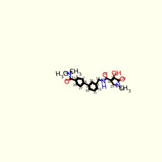 CN(C)C(=O)c1ccc(-c2cccc(CNC(=O)C3=C(O)C(=O)N(C)C3)c2)cc1